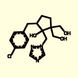 OCC1(CO)CCC(Cc2ccc(Cl)cc2)C1(O)Cn1cncn1